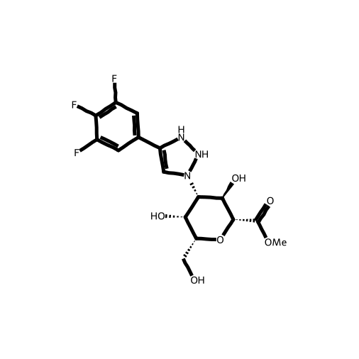 COC(=O)[C@@H]1O[C@H](CO)[C@H](O)[C@H](N2C=C(c3cc(F)c(F)c(F)c3)NN2)[C@H]1O